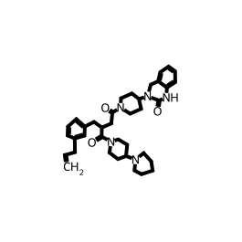 C=CCc1cccc(CC(CC(=O)N2CCC(N3Cc4ccccc4NC3=O)CC2)C(=O)N2CCC(N3CCCCC3)CC2)c1